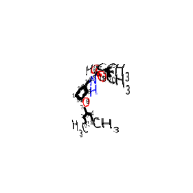 CCCC(CCC)COc1cccc(CNC(=O)OC(C)(C)C)c1